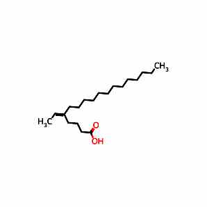 CC=C(CCCCCCCCCCCCC)CCCC(=O)O